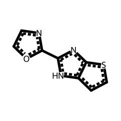 c1coc(-c2nc3sccc3[nH]2)n1